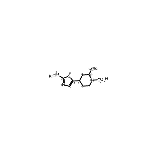 CC(=O)Nc1ncc(C2CCN(C(=O)O)C(C(C)(C)C)C2)s1